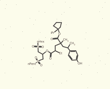 CCCCCCS(=O)(=O)CC(CS(=O)(=O)CCCCC)OC(=O)C(CC)CC(C)(CC(C)c1ccc(O)cc1)C(=O)OC1(C(C)C)CCCC1